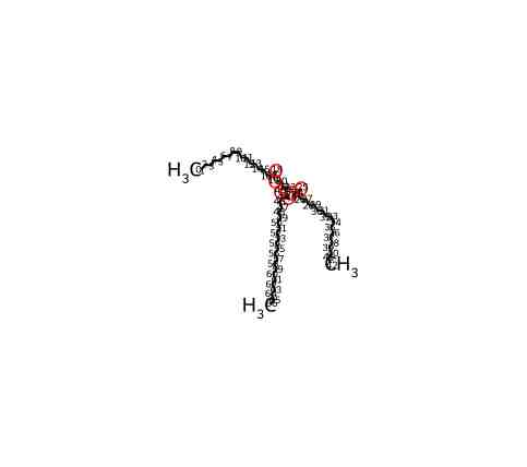 CCCCCCCC/C=C\CCCCCCCC(=O)OCC(COC(=O)CCCCCCC/C=C\CCCCCCCC)OC(=O)CCCCCCCCCCCCCCCCCCCCC